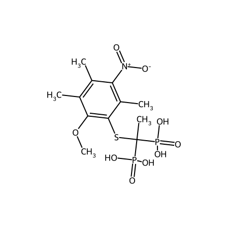 COc1c(C)c(C)c([N+](=O)[O-])c(C)c1SC(C)(P(=O)(O)O)P(=O)(O)O